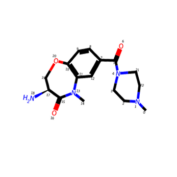 CN1CCN(C(=O)c2ccc3c(c2)N(C)C(=O)[C@@H](N)CO3)CC1